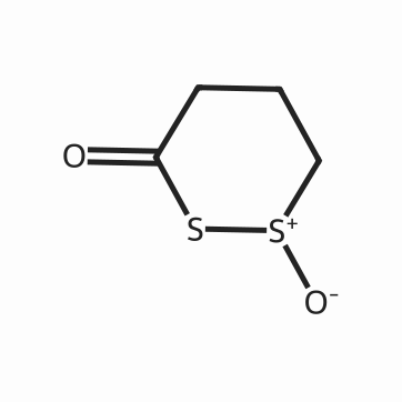 O=C1CCC[S+]([O-])S1